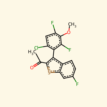 COc1c(F)cc(Cl)c(-c2c(C(C)=O)sc3cc(F)ccc23)c1F